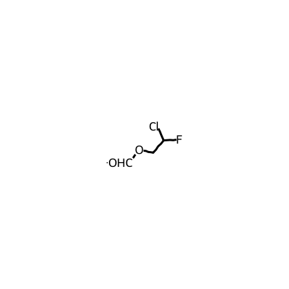 O=[C]OCC(F)Cl